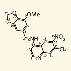 COc1cc(CNc2ncnc3cc(Cl)c([N+](=O)[O-])cc23)cc2c1OCO2